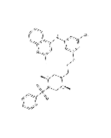 Cc1cc(Nc2cc(OCCN3C[C@H](C)N(S(=O)(=O)c4ccccc4)C[C@@H]3C)cc(C(F)(F)F)c2)c2ccccc2n1